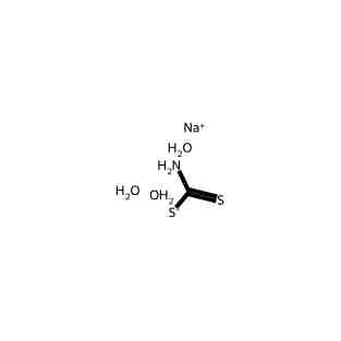 NC(=S)[S-].O.O.O.[Na+]